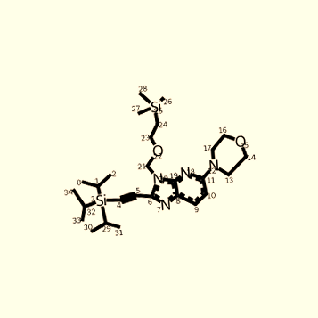 CC(C)[Si](C#Cc1nc2ccc(N3CCOCC3)nc2n1COCC[Si](C)(C)C)(C(C)C)C(C)C